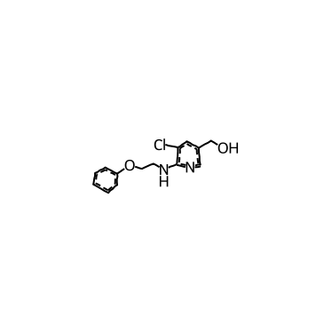 OCc1cnc(NCCOc2ccccc2)c(Cl)c1